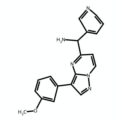 COc1cccc(-c2cnn3ccc(C(N)c4cccnc4)nc23)c1